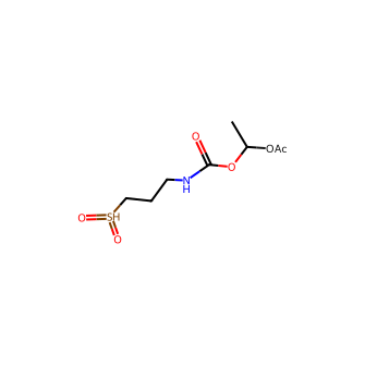 CC(=O)OC(C)OC(=O)NCCC[SH](=O)=O